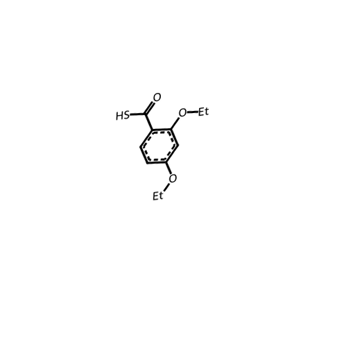 CCOc1ccc(C(=O)S)c(OCC)c1